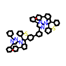 c1ccc(-c2cc(-n3c4c(c5cccc(-c6ccccc6)c53)-c3ccc(-c5cccc(-c6cc(-c7ccccc7)nc(-n7c8c(c9cccc(-c%10ccccc%10)c97)-c7ccccc7Sc7ccccc7-8)n6)c5)cc3Sc3ccccc3-4)nc(-c3ccccc3)n2)cc1